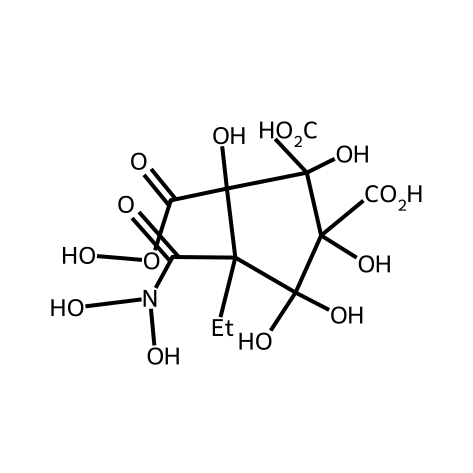 CCC1(C(=O)N(O)O)C(O)(O)C(O)(C(=O)O)C(O)(C(=O)O)C1(O)C(=O)OO